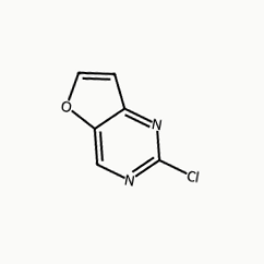 Clc1ncc2occc2n1